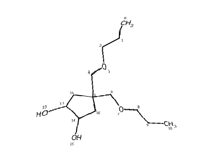 CCCOCC1(COCCC)CC(O)C(O)C1